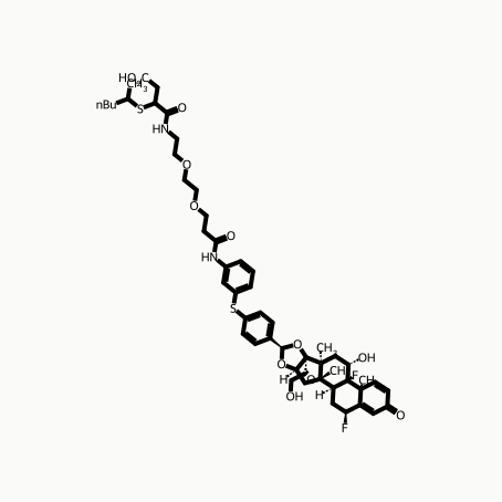 CCCCC(C)SC(CC(=O)O)C(=O)NCCOCCOCCC(=O)Nc1cccc(Sc2ccc([C@@H]3O[C@@H]4C[C@@]5(C)[C@@H]6C[C@H](F)C7=CC(=O)C=C[C@]7(C)[C@@]6(F)[C@@H](O)C[C@]5(C)[C@]4(C(=O)CO)O3)cc2)c1